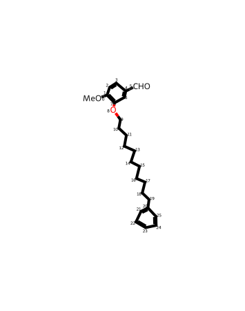 COc1ccc(C=O)cc1OCCCCCCCCCCCc1ccccc1